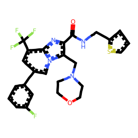 O=C(NCc1cccs1)c1nc2c(C(F)(F)F)cc(-c3cccc(F)c3)cn2c1CN1CCOCC1